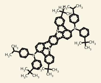 CC(C)c1ccc(N(c2cccc(C(C)(C)C)c2)c2ccc3c4cc5c(cc4n4c6ccc(C(C)(C)C)cc6c2c34)c2ccc(N(c3ccc(C(C)C)cc3)c3cccc(C(C)(C)C)c3)c3c4cc(C(C)(C)C)ccc4n5c23)cc1